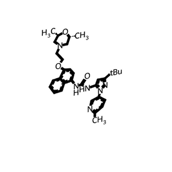 Cc1ccc(-n2nc(C(C)(C)C)cc2NC(=O)Nc2ccc(OCCN3C[C@@H](C)O[C@H](C)C3)c3ccccc23)cn1